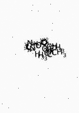 CC(C)(C)[Si](C)(C)OC1CCC[C@@H]1OCc1ncccn1